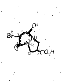 O=C(O)C1Cn2c(=O)cc(Br)c(=O)n2C1